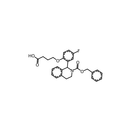 O=C(O)CCCOc1ccc(F)cc1C1c2ccccc2CCN1C(=O)OCc1ccccc1